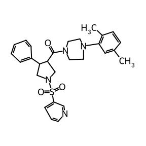 Cc1ccc(C)c(N2CCN(C(=O)C3CN(S(=O)(=O)c4cccnc4)CC3c3ccccc3)CC2)c1